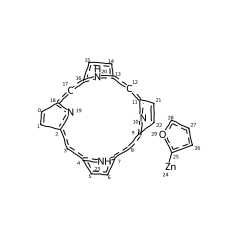 C1=Cc2cc3ccc(cc4nc(cc5ccc(cc1n2)[nH]5)C=C4)[nH]3.[Zn][c]1ccco1